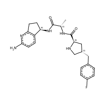 C[C@H](NC(=O)[C@H]1C[C@H](Cc2ccc(F)cc2)CN1)C(=O)N[C@@H]1CCc2nc(N)ccc21